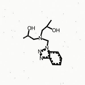 CC(O)CN(CC(C)O)Cn1nnc2ccccc21